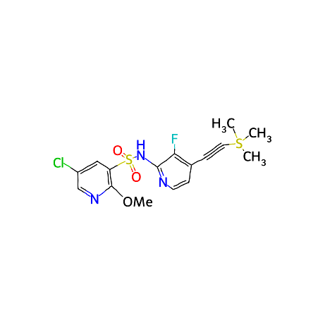 COc1ncc(Cl)cc1S(=O)(=O)Nc1nccc(C#CS(C)(C)C)c1F